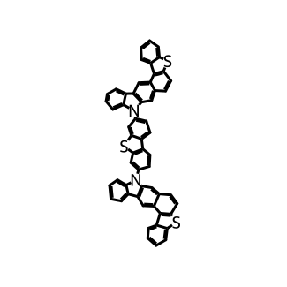 c1ccc2c(c1)sc1ccc3cc4c(cc3c12)c1ccccc1n4-c1ccc2c(c1)sc1cc(-n3c4ccccc4c4cc5c(ccc6sc7ccccc7c65)cc43)ccc12